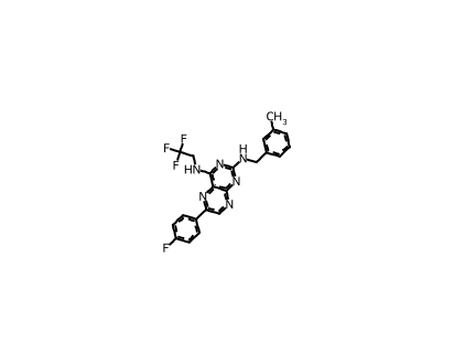 Cc1cccc(CNc2nc(NCC(F)(F)F)c3nc(-c4ccc(F)cc4)cnc3n2)c1